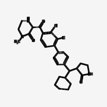 CN1CCNC(C(=O)c2ccc(-c3ccc(C(C4CCCCC4)C4CCNC4=O)cc3)c(Cl)c2Cl)C1=O